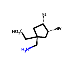 CC[C@H]1C[C@@](CN)(CC(=O)O)C[C@H]1C(C)C